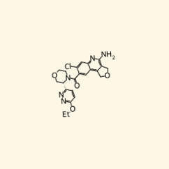 CCOc1ccc([C@@H]2COCCN2C(=O)c2cc3c4c(c(N)nc3cc2Cl)COC4)nn1